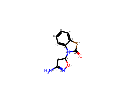 NC1=NOC(n2c(=O)sc3ccccc32)C1